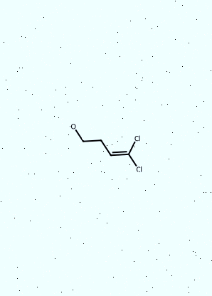 [O]CCC=C(Cl)Cl